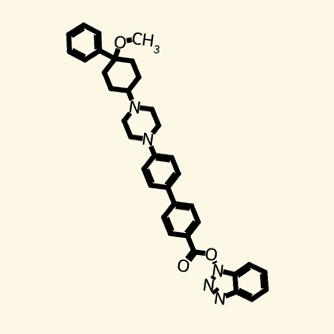 COC1(c2ccccc2)CCC(N2CCN(c3ccc(-c4ccc(C(=O)On5nnc6ccccc65)cc4)cc3)CC2)CC1